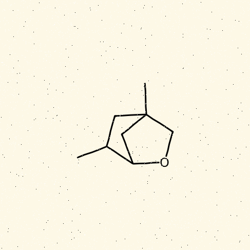 CC1CC2(C)COC1C2